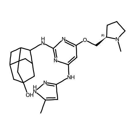 Cc1cc(Nc2cc(OC[C@H]3CCCN3C)nc(NC3C4CC5CC3CC(O)(C5)C4)n2)n[nH]1